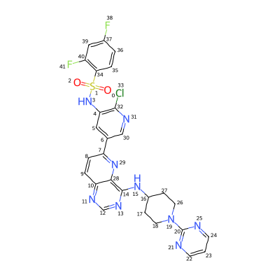 O=S(=O)(Nc1cc(-c2ccc3ncnc(NC4CCN(c5ncccn5)CC4)c3n2)cnc1Cl)c1ccc(F)cc1F